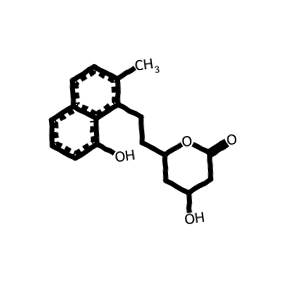 Cc1ccc2cccc(O)c2c1CCC1CC(O)CC(=O)O1